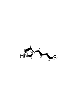 [S]CCCCN1C=CNC1